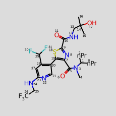 CCCC(CCC)N(C)C(=O)c1nc(C(=O)NCC(C)(C)O)sc1-c1cnc(NCC(F)(F)F)cc1C(F)F